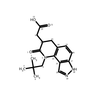 CC(C)(C)CN1C(=O)C(CC(=O)O)Cc2ccc3[nH]ncc3c21